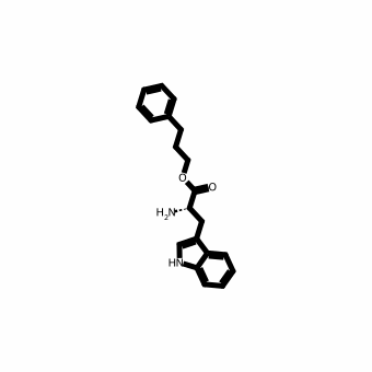 N[C@@H](Cc1c[nH]c2ccccc12)C(=O)OCCCc1ccccc1